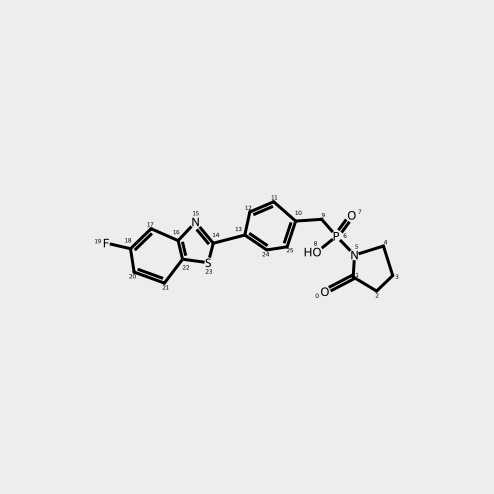 O=C1CCCN1P(=O)(O)Cc1ccc(-c2nc3cc(F)ccc3s2)cc1